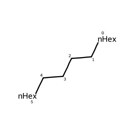 C[CH]CCCCCCCCCCCC[CH]C